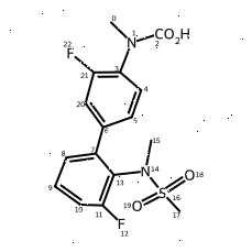 CN(C(=O)O)c1ccc(-c2cccc(F)c2N(C)S(C)(=O)=O)cc1F